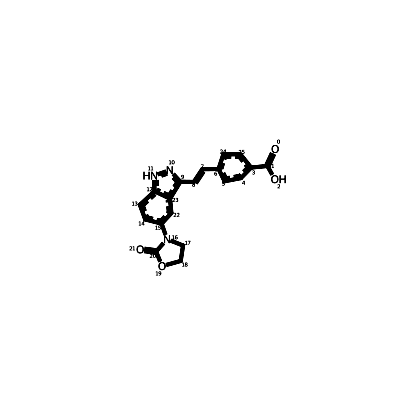 O=C(O)c1ccc(/C=C/c2n[nH]c3ccc(N4CCOC4=O)cc23)cc1